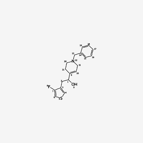 OC(Cc1cscc1F)C1=CCN(Cc2ccccc2)CC1